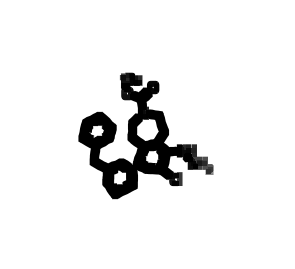 CC(C)(C)OC(=O)N1CCc2ccc(Cl)c(NN)c2CC1.c1ccc(Cc2ccccc2)cc1